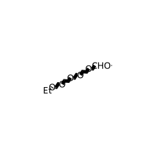 CCOCCOCCOCCOCCOC[C]=O